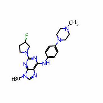 CN1CCN(c2ccc(Nc3nc(N4CCC(F)C4)nc4c3ncn4C(C)(C)C)cc2)CC1